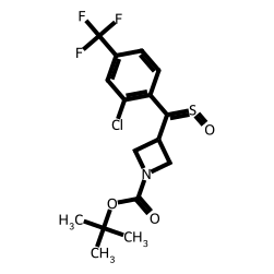 CC(C)(C)OC(=O)N1CC(C(=S=O)c2ccc(C(F)(F)F)cc2Cl)C1